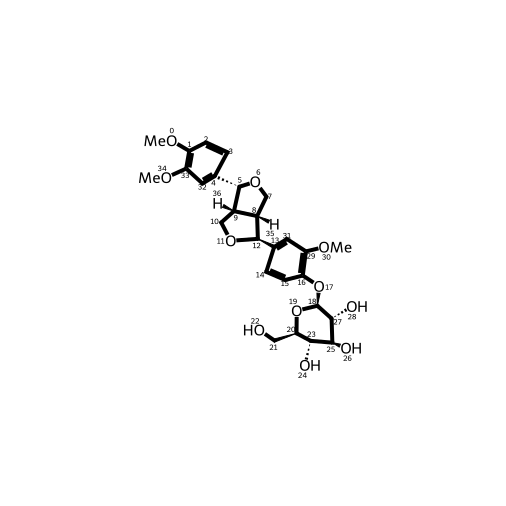 COc1ccc([C@@H]2OC[C@H]3[C@@H]2CO[C@@H]3c2ccc(O[C@@H]3O[C@H](CO)[C@@H](O)[C@H](O)[C@H]3O)c(OC)c2)cc1OC